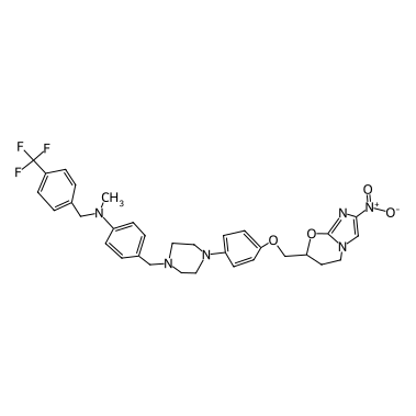 CN(Cc1ccc(C(F)(F)F)cc1)c1ccc(CN2CCN(c3ccc(OCC4CCn5cc([N+](=O)[O-])nc5O4)cc3)CC2)cc1